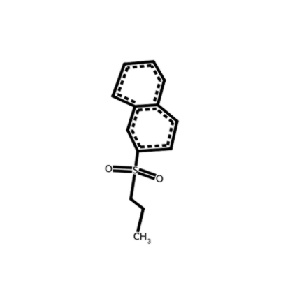 CCCS(=O)(=O)c1ccc2ccccc2c1